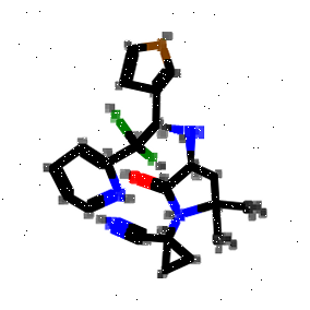 CC1(C)C[C@H](N[C@@H](c2ccsc2)C(F)(F)c2ccccn2)C(=O)N1C1(C#N)CC1